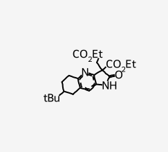 CCOC(=O)CC1(C(=O)OCC)C(=O)Nc2cc3c(nc21)CCC(C(C)(C)C)C3